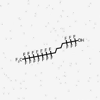 OC(F)(F)C(F)(F)C(F)(F)CCCCC(F)(F)C(F)(F)C(F)(F)C(F)(F)C(F)(F)C(F)(F)C(F)(F)C(F)(F)F